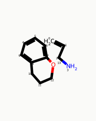 C=CCN.c1ccc2c(c1)CCCO2